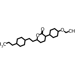 CCCC1CCC(CCC2CCC(C3CCC(OCC)CC3)C(=O)O2)CC1